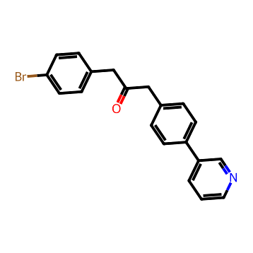 O=C(Cc1ccc(Br)cc1)Cc1ccc(-c2cccnc2)cc1